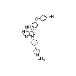 CN1CCN(C2CCC(n3nc(-c4ccc(Oc5ccc(C#N)cc5)cc4)c4c(N)ncnc43)CC2)CC1